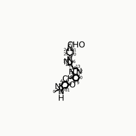 Cc1nc2ccc(Oc3ccc4ncc(-c5cnn(C6CCN(C=O)CC6)c5)nc4c3Cl)cc2[nH]1